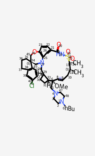 CCCCN1CCN(C[C@]2(OC)/C=C/C[C@H](C)[C@@H](C)S(=O)(=O)NC(=O)c3ccc4c(c3)N(C[C@@H]3CC[C@H]32)C[C@@]2(CCCc3cc(Cl)ccc32)CO4)CC1